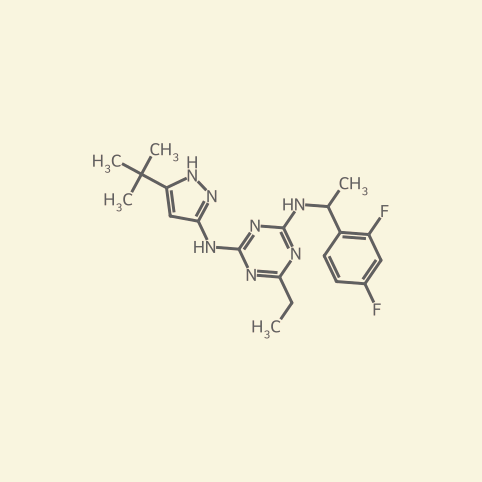 CCc1nc(Nc2cc(C(C)(C)C)[nH]n2)nc(NC(C)c2ccc(F)cc2F)n1